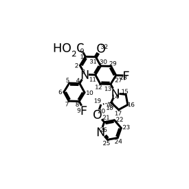 O=C(O)c1cn(-c2cccc(F)c2)c2cc(N3CCC[C@@H]3COc3ccccn3)c(F)cc2c1=O